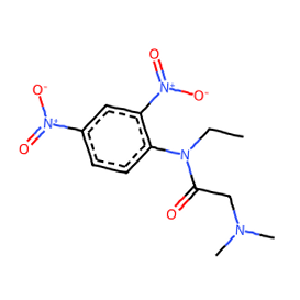 CCN(C(=O)CN(C)C)c1ccc([N+](=O)[O-])cc1[N+](=O)[O-]